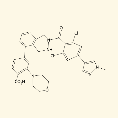 Cn1cc(-c2cc(Cl)c(C(=O)N3Cc4cccc(-c5ccc(C(=O)O)c(N6CCOCC6)c5)c4CN3)c(Cl)c2)cn1